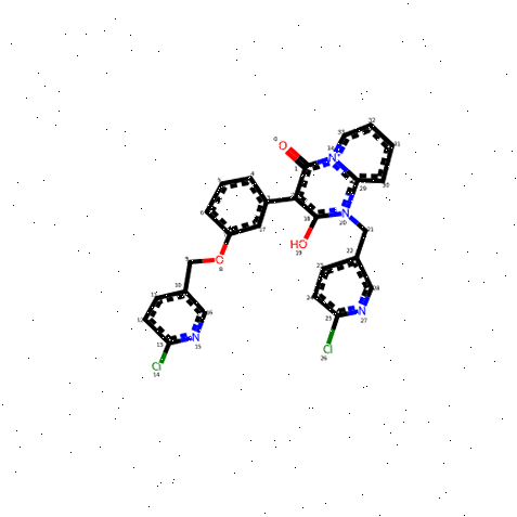 O=c1c(-c2cccc(OCc3ccc(Cl)nc3)c2)c(O)n(Cc2ccc(Cl)nc2)c2cccc[n+]12